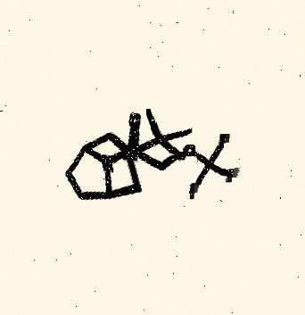 CC(C)(C)N1CC2CCC(C1)N2C(=O)COC(F)(F)F